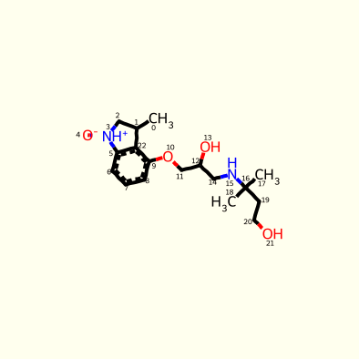 CC1C[NH+]([O-])c2cccc(OCC(O)CNC(C)(C)CCO)c21